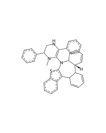 CN1C(N2c3sc4ccccc4c3C3C=CC=CC3[C@H]3C=CC=CC32)=C(c2ccccc2)NCC1c1ccccc1